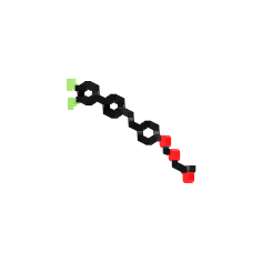 Fc1ccc(-c2ccc(CCC3CCC(OCOCC4CO4)CC3)cc2)cc1F